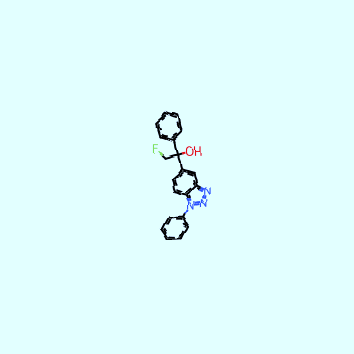 OC(CF)(c1ccccc1)c1ccc2c(c1)nnn2-c1ccccc1